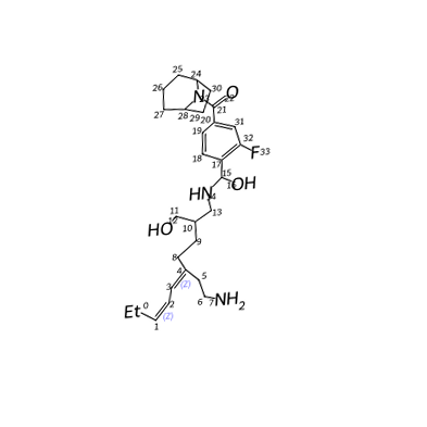 CC/C=C\C=C(/CCN)CCC(CO)CNC(O)c1ccc(C(=O)N2C3CCCC2CC3)cc1F